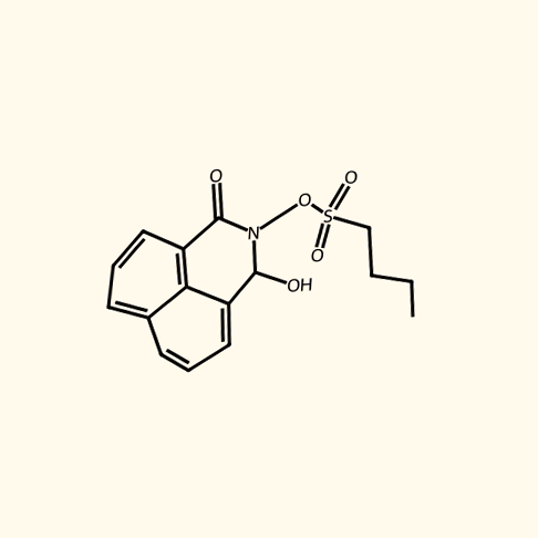 CCCCS(=O)(=O)ON1C(=O)c2cccc3cccc(c23)C1O